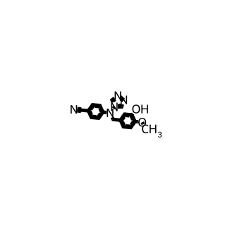 COc1ccc(CN(c2ccc(C#N)cc2)n2cnnc2)cc1O